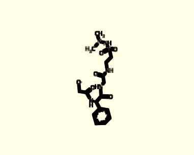 CN(C)NS(=O)(=O)CCNC(=O)CNC(=O)[C@H](NC(=O)C[O])c1ccccc1